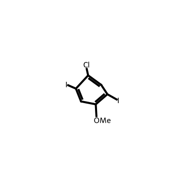 COc1cc(I)c(Cl)cc1I